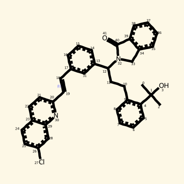 CC(C)(O)c1ccccc1CCC(c1cccc(/C=C/c2ccc3ccc(Cl)cc3n2)c1)N1Cc2ccccc2C1=O